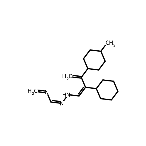 C=N/C=N\N/C=C(\C(=C)C1CCC(C)CC1)C1CCCCC1